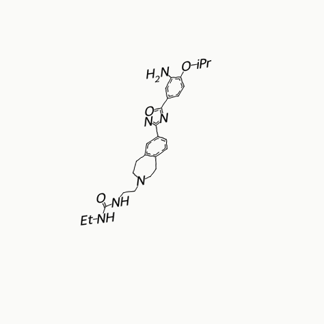 CCNC(=O)NCCN1CCc2ccc(-c3noc(-c4ccc(OC(C)C)c(N)c4)n3)cc2CC1